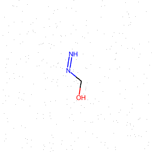 N=NCO